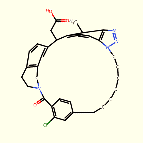 Cc1c2ccc3c1nnn3CCCCCCCc1ccc(c(Cl)c1)C(=O)N1CCc3ccc(cc3C1)C2CC(=O)O